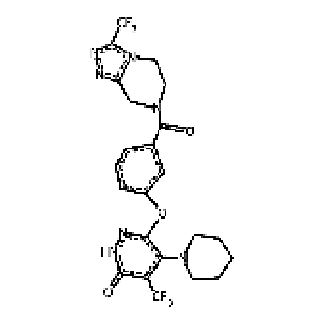 O=C(c1cccc(Oc2n[nH]c(=O)c(C(F)(F)F)c2N2CCCCC2)c1)N1CCn2c(nnc2C(F)(F)F)C1